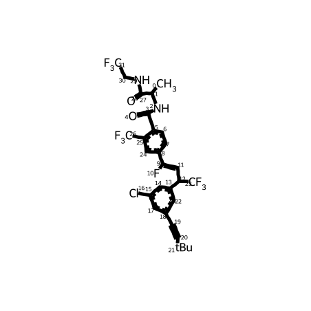 CC(NC(=O)c1ccc(/C(F)=C/C(c2cc(Cl)cc(C#CC(C)(C)C)c2)C(F)(F)F)cc1C(F)(F)F)C(=O)NCC(F)(F)F